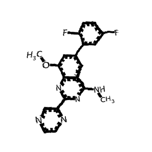 CNc1nc(-c2cnccn2)nc2c(OC)cc(-c3cc(F)ccc3F)cc12